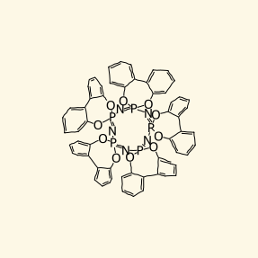 c1ccc2c(c1)OP1(=NP3(=NP4(=NP5(=NP6(=N1)Oc1ccccc1-c1ccccc1O6)Oc1ccccc1-c1ccccc1O5)Oc1ccccc1-c1ccccc1O4)Oc1ccccc1-c1ccccc1O3)Oc1ccccc1-2